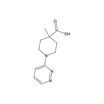 CC1(C(=O)O)CCN(c2cccnn2)CC1